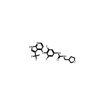 O=C(NCC1CCOC1)Nc1cc(F)c(Oc2ccnc3[nH]cc(C(F)(F)F)c23)c(F)c1